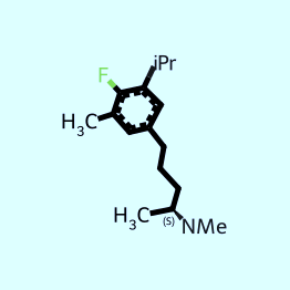 CN[C@@H](C)CCCc1cc(C)c(F)c(C(C)C)c1